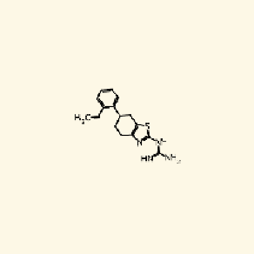 CCc1ccccc1C1CCc2nc(NC(=N)N)sc2C1